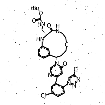 CC(C)(C)OC(=O)NC[C@H]1Nc2cccc(c2)[C@@H](n2cnc(-c3cc(Cl)ccc3-n3cc(Cl)nn3)cc2=O)CCCCCNC1=O